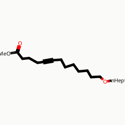 CCCCCCCOCCCCCCCC#CCCCC(=O)OC